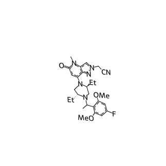 CC[C@H]1CN(C(C)c2c(OC)cc(F)cc2OC)[C@H](CC)CN1c1cc(=O)n(C)c2cn(CC#N)nc12